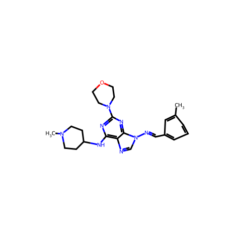 Cc1cccc(C=Nn2cnc3c(NC4CCN(C)CC4)nc(N4CCOCC4)nc32)c1